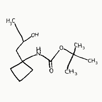 CC(O)CC1(NC(=O)OC(C)(C)C)CCC1